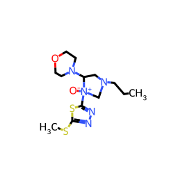 CCCN1CC(N2CCOCC2)[N+]([O-])(c2nnc(SC)s2)C1